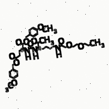 CCCOCCOCC(=O)NCCCC[C@H](NC(=O)N[C@@H](CCC(=O)OCc1ccc(OC)cc1)C(=O)OCc1ccc(OC)cc1)C(C)=O